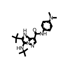 CN(C)c1ccc(NC(=O)c2cnn3c(NC(C)(C)C)c(C(C)(C)C)[nH]c23)cc1